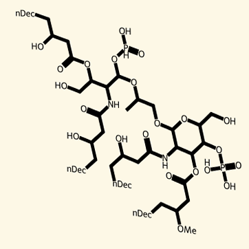 CCCCCCCCCCCC(O)CC(=O)NC(C(CO)OC(=O)CC(O)CCCCCCCCCCC)C(OC(C)COC1OC(CO)C(OP(=O)(O)O)C(OC(=O)CC(CCCCCCCCCCC)OC)C1NC(=O)CC(O)CCCCCCCCCCC)O[PH](=O)O